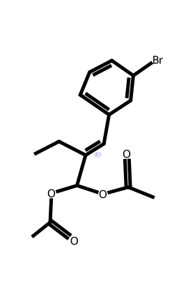 CC/C(=C\c1cccc(Br)c1)C(OC(C)=O)OC(C)=O